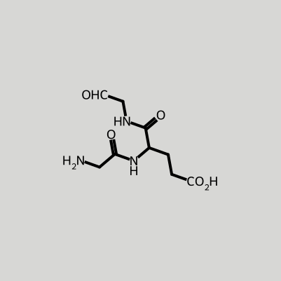 NCC(=O)NC(CCC(=O)O)C(=O)NCC=O